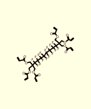 C=CC(=O)OCC(COC(=O)C=C)(COC(=O)C=C)C(F)(F)C(F)(F)C(F)(F)C(F)(F)C(F)(F)C(F)(F)C(F)(F)C(F)(F)C(COC(=O)C=C)(COC(=O)C=C)COC(=O)C=C